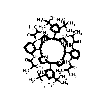 CC(C)C(=O)Nc1cccc(NC(=O)C(C)C)c1-c1c2nc(c(-c3cc(C(C)(C)C)cc(C(C)(C)C)c3)c3ccc([nH]3)c(-c3c(NC(=O)C(C)C)cccc3NC(=O)C(C)C)c3nc(c(-c4cc(C(C)(C)C)cc(C(C)(C)C)c4)c4ccc1[nH]4)C=C3)C=C2